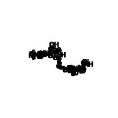 COc1cc(OCCN(C)CCCC(=O)N[C@H](C(=O)N2C[C@H](O)C[C@H]2C(=O)NCc2ccc(-c3scnc3C)cc2)C(C)(C)C)ccc1NC(=O)c1cccc(-c2ccn[nH]2)n1